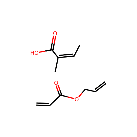 C=CCOC(=O)C=C.CC=C(C)C(=O)O